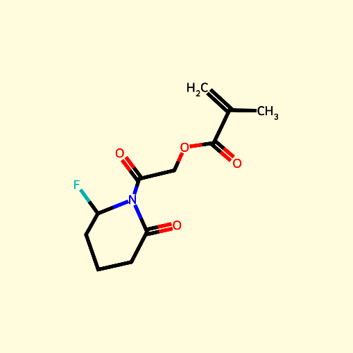 C=C(C)C(=O)OCC(=O)N1C(=O)CCCC1F